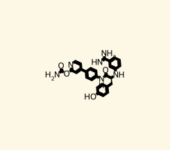 N=C(N)c1cccc(N[C@@H](Cc2ccc(O)cc2)C(=O)Nc2ccc(-c3ccnc(OC(N)=O)c3)cc2)c1